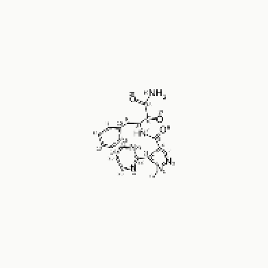 Cn1ncc(C(=O)N[C@@H](Cc2ccccc2)C(=O)C(N)=O)c1-c1ncccn1